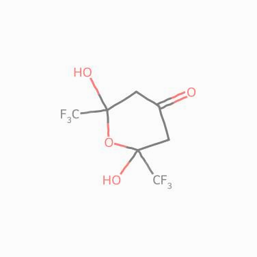 O=C1CC(O)(C(F)(F)F)OC(O)(C(F)(F)F)C1